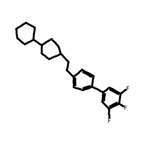 Fc1cc(-c2ccc(CCC3CCC(C4CCCCC4)CC3)cc2)cc(F)c1F